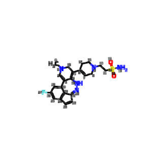 CN1C=C2C(=C(C3=CCN(CCS(N)(=O)=O)CC3)C1)NN=C1C=Cc3cc(F)cc2c31